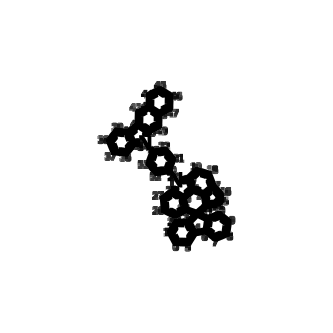 c1ccc2c(c1)-c1ccccc1C21c2cccc3ccc4c(c23)c2c1cccc2n4-c1ccc(-n2c3ccccc3c3cc4ccccc4cc32)cc1